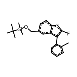 Cc1ccccc1-c1c(F)sc2ccc(CO[Si](C)(C)C(C)(C)C)cc12